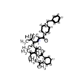 C/C(=C\[C@H](C(C)C)N(C)C(=O)[C@@H](NC(=O)[C@H]1CCCCN1C(C)C)C(C)C)C(=O)N1CCN(Cc2ccccc2)CC1